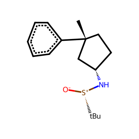 CC(C)(C)[S@+]([O-])N[C@H]1CC[C@@](C)(c2ccccc2)C1